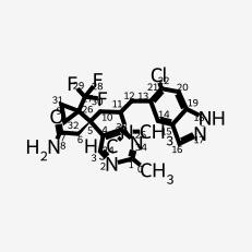 Cc1ncc([C@@](CC(N)=O)(CC(Cc2cc3cn[nH]c3cc2Cl)N(C)C)C2(C(F)(F)F)CC2)cn1